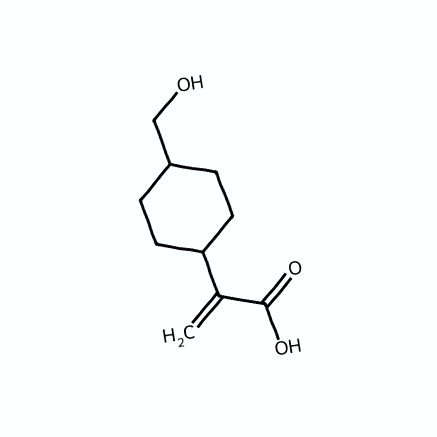 C=C(C(=O)O)C1CCC(CO)CC1